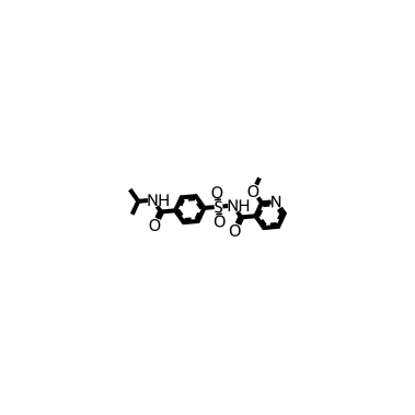 COc1ncccc1C(=O)NS(=O)(=O)c1ccc(C(=O)NC(C)C)cc1